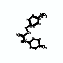 O=C1CCC(NC(=O)OCc2ccc([N+](=O)[O-])cc2)CC1